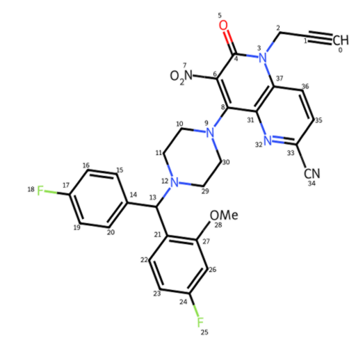 C#CCn1c(=O)c([N+](=O)[O-])c(N2CCN(C(c3ccc(F)cc3)c3ccc(F)cc3OC)CC2)c2nc(C#N)ccc21